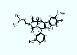 CCN(C)CCN1C(=O)N2[C@H](C3=CC(O)CC=C3)c3[nH]c4cc(F)c(OC)cc4c3C[C@@]2(C)C1=O